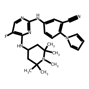 CN1C(C)(C)CC(Nc2nc(Nc3ccc(-n4cccc4)c(C#N)c3)ncc2F)CC1(C)C